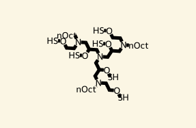 CCCCCCCCN(CCOS)CC(CN(CC(CN(CCCCCCCC)CCOS)OS)CC(CN(CCCCCCCC)CCOS)OS)OS